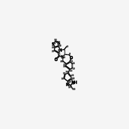 CCn1c(C(=O)N2CCOc3ccc(-c4ccc5nc(C)[nH]c5c4)cc3C2)cc2scnc21